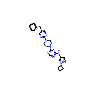 c1ccc(Cc2cnc(N3CCN(c4ncnc(Nc5cnn(C6CCC6)c5)n4)CC3)nc2)cc1